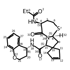 CCC(=O)N[C@H]1CCS[C@H]2CC3(CC=CC3)[C@@H](C(=O)N[C@@H]3CCOc4ccccc43)N2C1=O